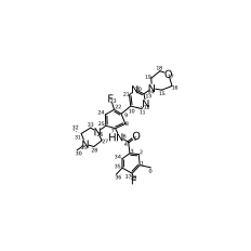 Cc1cc(C(=O)Nc2cc(-c3cnc(N4CCOCC4)nc3)c(F)cc2N2CCN(C)[C@H](C)C2)cc(C)c1F